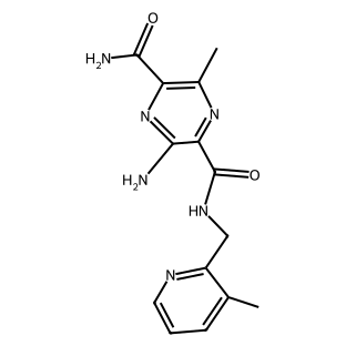 Cc1cccnc1CNC(=O)c1nc(C)c(C(N)=O)nc1N